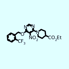 CCOC(=O)C1CCN(c2ncnc(OCc3ccccc3C(F)(F)F)c2[N+](=O)[O-])CC1